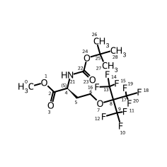 COC(=O)[C@H](CCOC(C(F)(F)F)(C(F)(F)F)C(F)(F)F)NC(=O)OC(C)(C)C